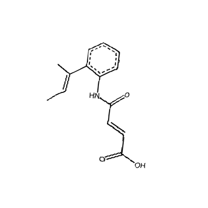 CC=C(C)c1ccccc1NC(=O)C=CC(=O)O